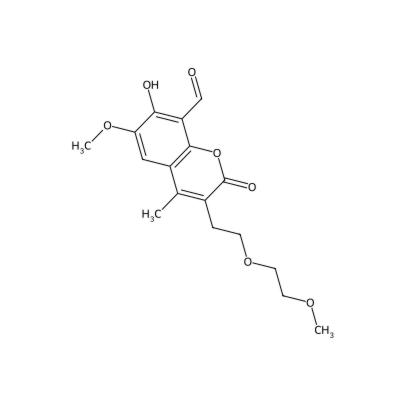 COCCOCCc1c(C)c2cc(OC)c(O)c(C=O)c2oc1=O